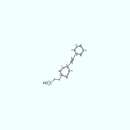 O=C(O)CCc1ccc(C#Cc2cc[c]cc2)cc1